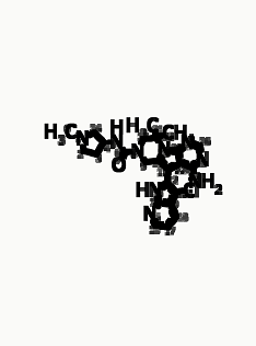 CN1CC[C@H](NC(=O)N2Cc3c(-c4[nH]c5ncccc5c4Cl)c4c(N)ncnc4n3C(C)(C)C2)C1